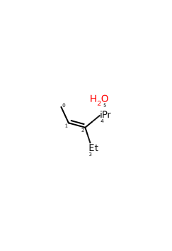 CC=C(CC)C(C)C.O